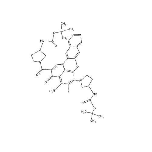 CC(C)(C)OC(=O)NC1CCN(C(=O)c2cn3c4c(c(N5CCC(NC(=O)OC(C)(C)C)C5)c(F)c(N)c4c2=O)Oc2cc4ccccc4cc2-3)C1